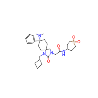 CN(C)[C@]1(c2ccccc2)CC[C@]2(CC1)CN(CC(=O)NC1CCS(=O)(=O)CC1)C(=O)N2CC1CCC1